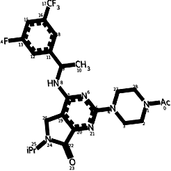 CC(=O)N1CCN(c2nc(NC(C)c3cc(F)cc(C(F)(F)F)c3)c3c(n2)C(=O)N(C(C)C)C3)CC1